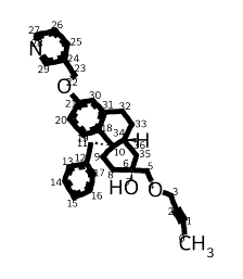 CC#CCOC[C@@]1(O)CC[C@@]2(Cc3ccccc3)c3ccc(OCc4cccnc4)cc3CC[C@@H]2C1